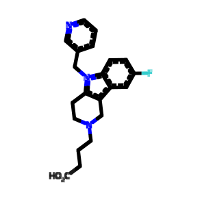 O=C(O)CCCN1CCc2c(c3cc(F)ccc3n2Cc2cccnc2)C1